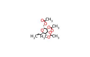 C=CC[C@H]1O[C@H](COC(C)=O)[C@@H](OC(C)=O)[C@H](OC(C)=O)[C@@H]1C